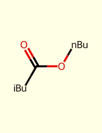 [CH2]CCCOC(=O)C(C)CC